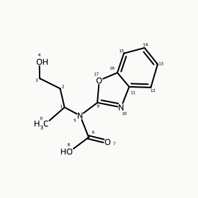 CC(CCO)N(C(=O)O)c1nc2ccccc2o1